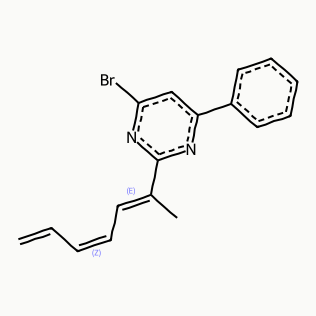 C=C/C=C\C=C(/C)c1nc(Br)cc(-c2ccccc2)n1